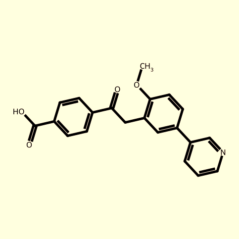 COc1ccc(-c2cccnc2)cc1CC(=O)c1ccc(C(=O)O)cc1